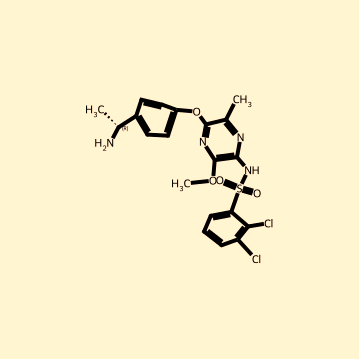 COc1nc(Oc2ccc([C@@H](C)N)cc2)c(C)nc1NS(=O)(=O)c1cccc(Cl)c1Cl